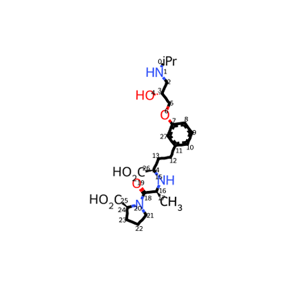 CC(C)NC[C@@H](O)COc1cccc(CC[C@@H](N[C@@H](C)C(=O)N2CCC[C@H]2C(=O)O)C(=O)O)c1